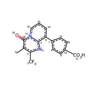 Cc1c(C(F)(F)F)nc2c(-c3ccc(C(=O)O)cc3)cccn2c1=O